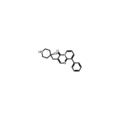 O=c1c(CC2(O)CCNCC2)cnc2c(-c3ccccc3)cccn12